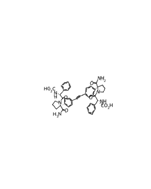 NC(=O)[C@@]1(c2ccc(C#Cc3ccc([C@]4(C(N)=O)CCCN4C(=O)[C@H](NC(=O)O)c4ccccc4)cc3)cc2)CCCN1C(=O)[C@H](NC(=O)O)c1ccccc1